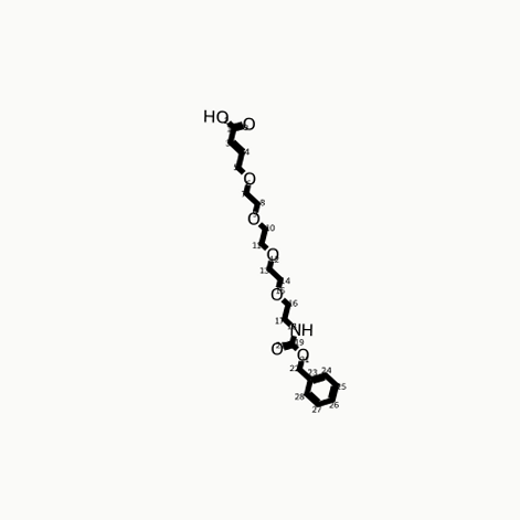 O=C(O)/C=C/COCCOCCOCCOCCNC(=O)OCc1ccccc1